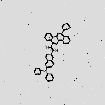 [2H]/C(=C(/[2H])c1cc2c3ccccc3c(-c3ccccc3)cc2c2ccccc12)c1ccc2cc(N(c3ccccc3)c3ccccc3)ccc2c1